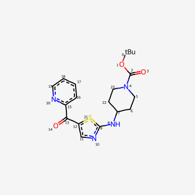 CC(C)(C)OC(=O)N1CCC(Nc2ncc(C(=O)c3ccccn3)s2)CC1